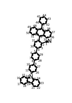 N#Cc1cc(-c2ccc(-c3ccc(-n4c5ccccc5c5ccccc54)cc3)cc2)ccc1-c1c2ccccc2c(-c2ccccc2)c2ccccc12